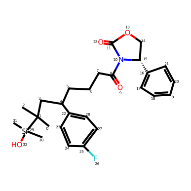 CC(C)(CC(CCCC(=O)N1C(=O)OC[C@@H]1c1ccccc1)c1ccc(F)cc1)[Si](C)(C)O